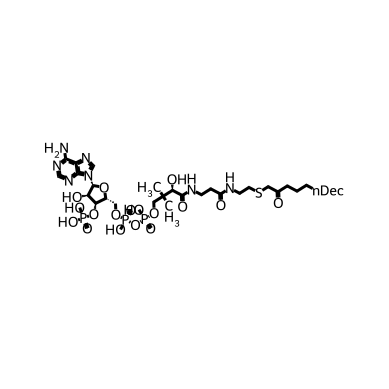 CCCCCCCCCCCCCC(=O)CSCCNC(=O)CCNC(=O)[C@H](O)C(C)(C)COP(=O)(O)OP(=O)(O)OC[C@H]1O[C@@H](n2cnc3c(N)ncnc32)[C@H](O)[C@@H]1OP(=O)(O)O